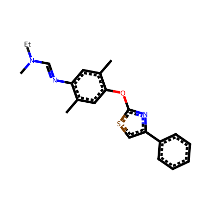 CCN(C)/C=N/c1cc(C)c(Oc2nc(-c3ccccc3)cs2)cc1C